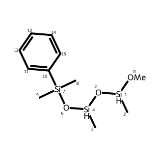 CO[SiH](C)O[SiH](C)O[Si](C)(C)c1ccccc1